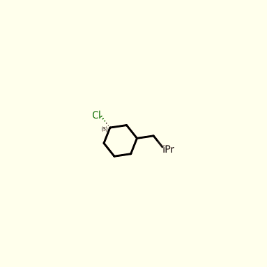 CC(C)CC1CCC[C@H](Cl)C1